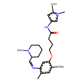 COc1cc(C)c(/N=C\C2CCCCN2C=O)cc1OCCCC(=O)Nc1cc(C=O)n(C)c1